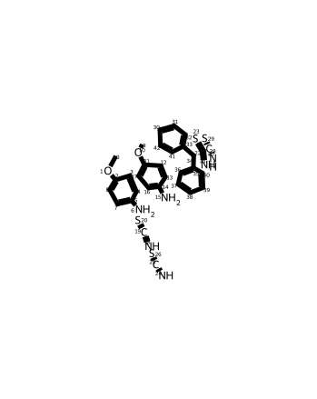 COc1ccc(N)cc1.COc1ccc(N)cc1.N=C=S.N=C=S.N=C=S.N=C=S.c1ccc(Cc2ccccc2)cc1